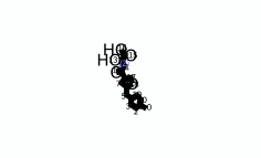 Cc1ccc(Cc2cc(C(=O)/C=C(\O)C(=O)O)co2)cc1